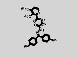 COc1ccnc(C(=O)N[C@@H](C)C(=O)NN=C(c2ccc(C(C)C)cc2)c2ccc(C(C)C)cc2)c1OC(C)=O